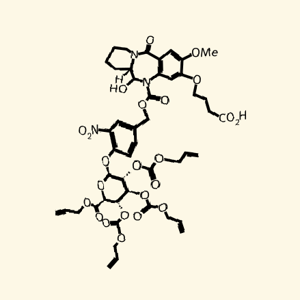 C=CCOC(=O)O[C@@H]1[C@@H](OC(=O)OCC=C)[C@H](Oc2ccc(COC(=O)N3c4cc(OCCCC(=O)O)c(OC)cc4C(=O)N4CCCC[C@H]4C3O)cc2[N+](=O)[O-])O[C@H](C(=O)OCC=C)[C@H]1OC(=O)OCC=C